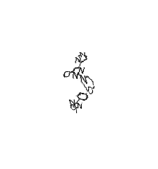 Cc1nc(-c2ccc([C@@H]3CN(c4nc(-c5ccncn5)cc(=O)n4C)CCCO3)cc2)no1